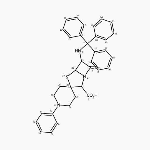 O=C(O)C1N2C(=O)C(NC(c3ccccc3)(c3ccccc3)c3ccccc3)C2SC12CCN(c1ccccc1)CC2